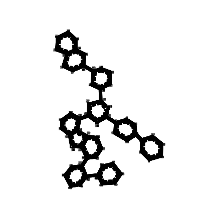 c1ccc(-c2ccc(-c3nc(-c4cccc(-c5ccc6ccccc6c5)c4)nc(-c4cccc5oc6c(-c7ccccc7-c7ccccc7)cccc6c45)n3)cc2)cc1